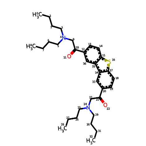 CCCCN(CCCC)CC(=O)c1ccc2sc3ccc(C(=O)CN(CCCC)CCCC)cc3c2c1